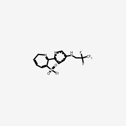 CCS(=O)(=O)C1=CC=CCN=C1c1ccc(NCC(F)(F)C(F)(F)F)cn1